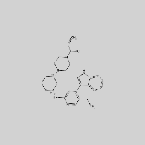 C=CC(=O)N1CCN([C@H]2CCC[C@@H](Nc3ncc(CC)c(-c4c[nH]c5ccccc45)n3)C2)CC1